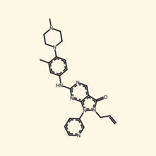 C=CCn1c(=O)c2cnc(Nc3ccc(N4CCN(C)CC4)c(C)c3)nc2n1-c1cccnc1